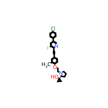 Cc1cc(C#Cc2ncc(-c3ccc(Cl)cc3)cc2F)ccc1OCCN1CCC[C@H]1C1(O)CC1